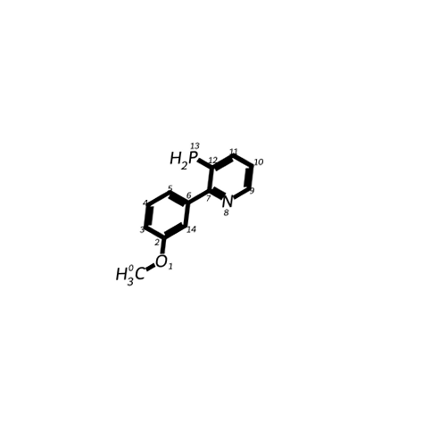 COc1cccc(-c2ncccc2P)c1